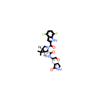 CC1(C)[C@@H]2[C@@H](C(=O)N[C@H](C=O)C[C@@H]3CCNC3=O)N(C(=O)c3cc4c(F)ccc(F)c4[nH]3)C[C@@H]21